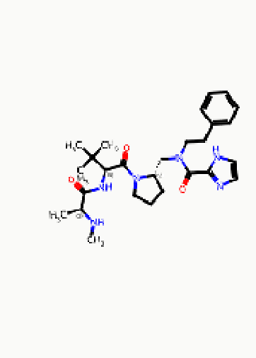 CN[C@@H](C)C(=O)N[C@H](C(=O)N1CCC[C@H]1CN(CCc1ccccc1)C(=O)c1ncc[nH]1)C(C)(C)C